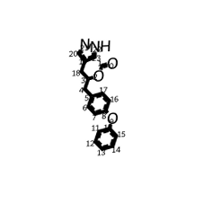 O=COC(Cc1ccc(Oc2ccccc2)cc1)Cc1cn[nH]c1